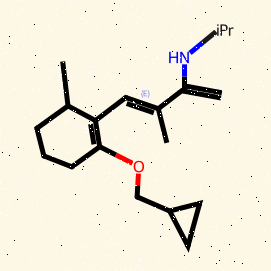 C=C(NC(C)C)/C(C)=C/C1=C(OCC2CC2)CCCC1C